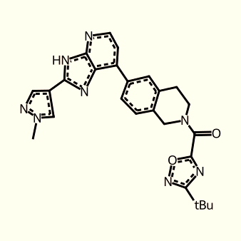 Cn1cc(-c2nc3c(-c4ccc5c(c4)CCN(C(=O)c4nc(C(C)(C)C)no4)C5)ccnc3[nH]2)cn1